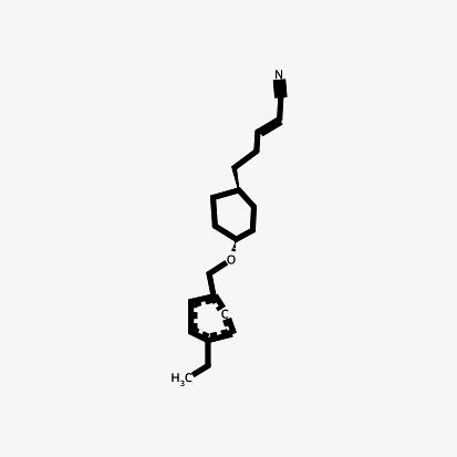 CCc1ccc(CO[C@H]2CC[C@H](CCC=CC#N)CC2)cc1